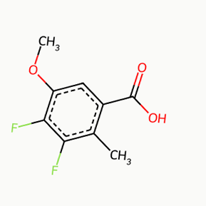 COc1cc(C(=O)O)c(C)c(F)c1F